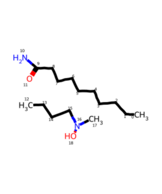 CCCCCCCCCC(N)=O.CCCCN(C)O